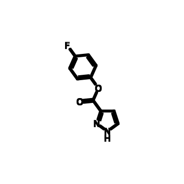 O=C(Oc1ccc(F)cc1)c1cc[nH]n1